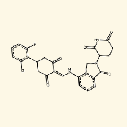 O=C1CCC(N2Cc3c(NC=C4C(=O)CC(c5c(F)cccc5Cl)CC4=O)cccc3C2=O)C(=O)N1